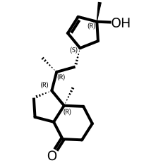 C[C@H](C[C@@H]1C=C[C@](C)(O)C1)[C@H]1CCC2C(=O)CCC[C@@]21C